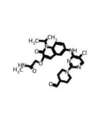 CNC(=O)COc1cc2cc(Nc3nc(N4CCC(C=O)CC4)ncc3Cl)ccc2n(C(C)C)c1=O